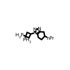 CCCC1CCc2c(nnn2C2CC(P)(P)C2)C1